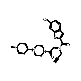 C#CCN(CC(=O)N1CCN(C2CCN(C)CC2)CC1)C(=O)c1cc2ccc(Cl)cc2s1